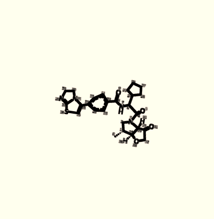 C[C@@H]1CN(C(=O)C(NC(=O)c2ccc(C3=CSC4=NCCN34)cc2)C2CCCC2)[C@@H]2C(=O)CO[C@@H]12